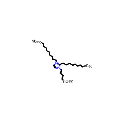 CCCCCCCCCCCCCCCCCCCN1C=CN(CCCCCCCCCCCCCC)C1CCCCCCCCCCCCCCCCCC